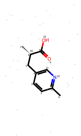 Cc1ccc(C[C@H](C)C(=O)O)cn1